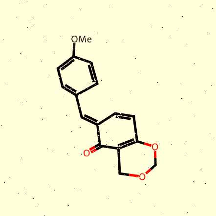 COc1ccc(/C=C2\C=CC3=C(COCO3)C2=O)cc1